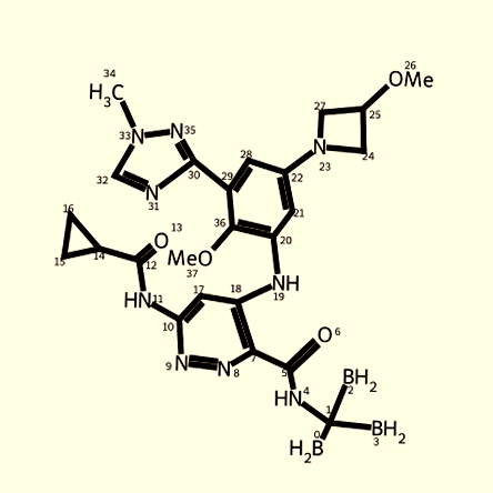 BC(B)(B)NC(=O)c1nnc(NC(=O)C2CC2)cc1Nc1cc(N2CC(OC)C2)cc(-c2ncn(C)n2)c1OC